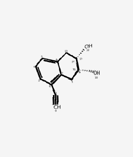 C#Cc1cccc2c1C[C@@H](O)[C@@H](O)C2